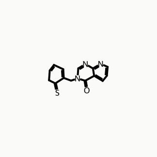 O=c1c2cccnc2ncn1CC1=CC=CCC1=S